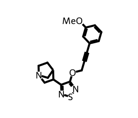 COc1cccc(C#CCOc2nsnc2C2CN3CCC2C3)c1